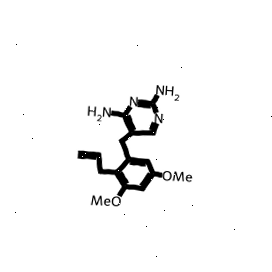 C=CCc1c(Cc2cnc(N)nc2N)cc(OC)cc1OC